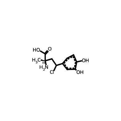 C[C@](N)(CC(Cl)c1ccc(O)c(O)c1)C(=O)O